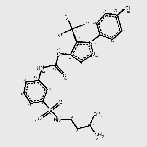 CN(C)CCNS(=O)(=O)c1cccc(NC(=O)Oc2cnn(-c3ccc(Cl)cc3)c2C(F)(F)F)c1